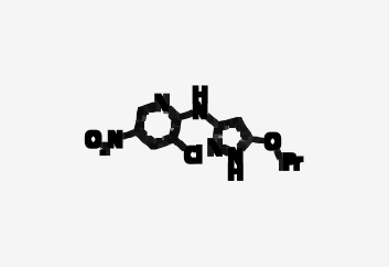 CC(C)Oc1cc(Nc2ncc([N+](=O)[O-])cc2Cl)n[nH]1